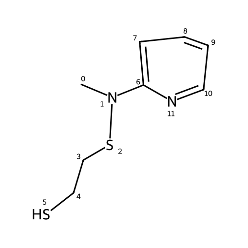 CN(SCCS)c1ccccn1